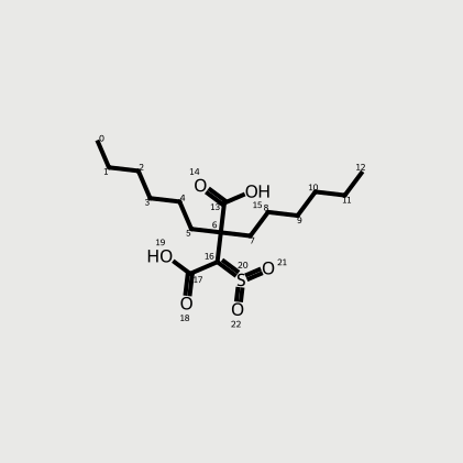 CCCCCCC(CCCCCC)(C(=O)O)C(C(=O)O)=S(=O)=O